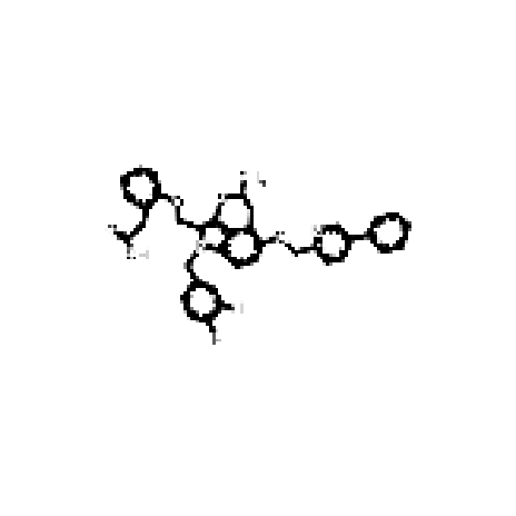 CC1Cc2c(OCc3ccc(-c4ccccc4)cn3)ccc3c2c(c(COc2ccccc2CC(=O)O)n3Cc2ccc(F)c(Cl)c2)S1